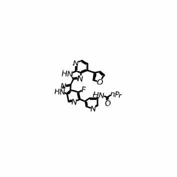 CCCC(=O)Nc1cncc(-c2ncc3[nH]nc(-c4nc5c(-c6ccoc6)ccnc5[nH]4)c3c2F)c1